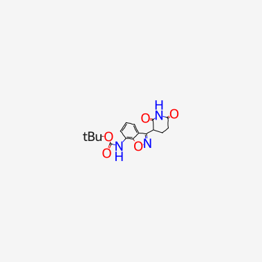 CC(C)(C)OC(=O)Nc1cccc2c(C3CCC(=O)NC3=O)noc12